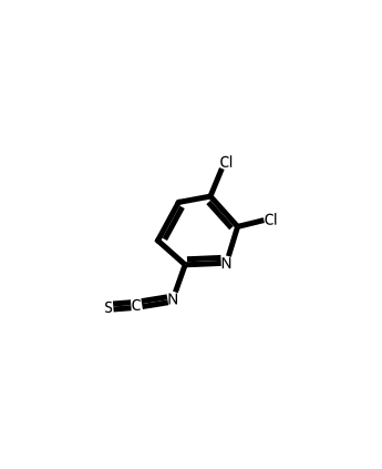 S=C=Nc1ccc(Cl)c(Cl)n1